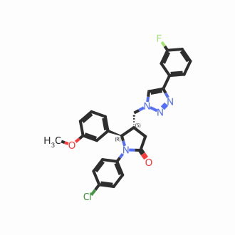 COc1cccc([C@H]2[C@H](Cn3cc(-c4cccc(F)c4)nn3)CC(=O)N2c2ccc(Cl)cc2)c1